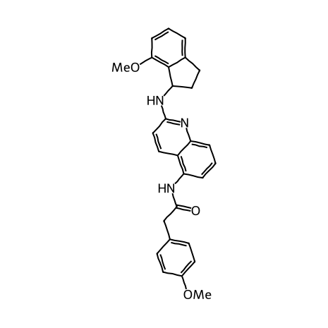 COc1ccc(CC(=O)Nc2cccc3nc(NC4CCc5cccc(OC)c54)ccc23)cc1